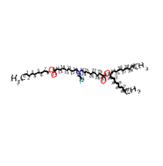 CCCCCCCCCOC(=O)CCCCCCCN(CCF)CCCCCCCC(=O)OC(CCCCCCCC)CCCCCCCC